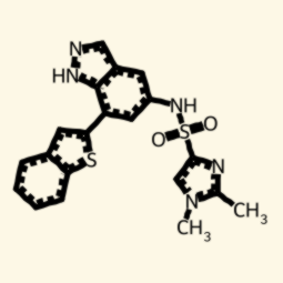 Cc1nc(S(=O)(=O)Nc2cc(-c3cc4ccccc4s3)c3[nH]ncc3c2)cn1C